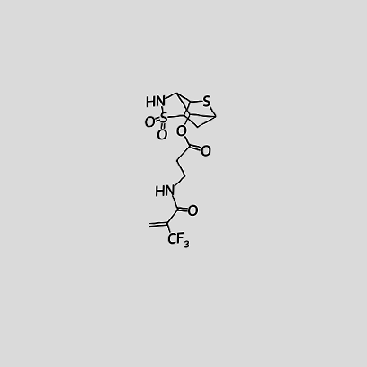 C=C(C(=O)NCCC(=O)OC1C2CC3C(S2)C1NS3(=O)=O)C(F)(F)F